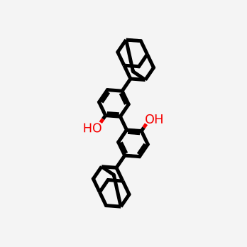 Oc1ccc(C2C3CC4CC(C3)CC2C4)cc1-c1cc(C2C3CC4CC(C3)CC2C4)ccc1O